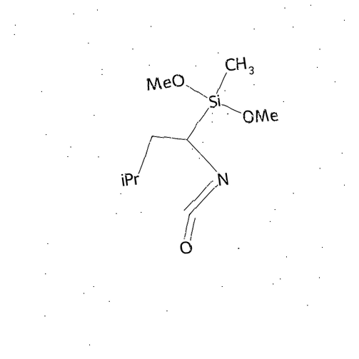 CO[Si](C)(OC)C(CC(C)C)N=C=O